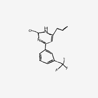 CCCC1=CC(c2cccc(C(F)(F)F)c2)=NC(Cl)N1